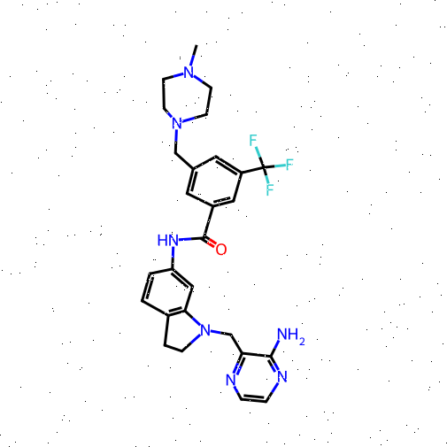 CN1CCN(Cc2cc(C(=O)Nc3ccc4c(c3)N(Cc3nccnc3N)CC4)cc(C(F)(F)F)c2)CC1